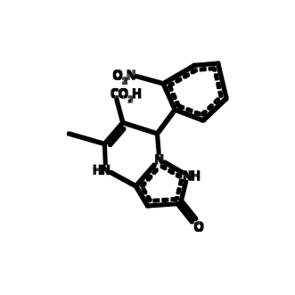 CC1=C(C(=O)O)C(c2ccccc2[N+](=O)[O-])n2[nH]c(=O)cc2N1